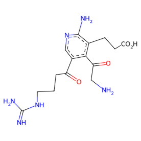 N=C(N)NCCCC(=O)c1cnc(N)c(CCC(=O)O)c1C(=O)CN